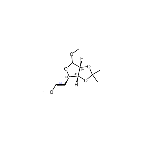 CO/C=C/[C@H]1OC(OC)[C@@H]2OC(C)(C)O[C@H]12